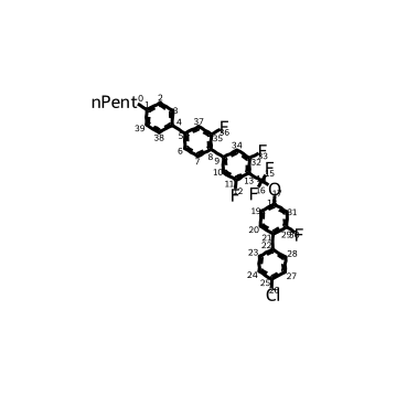 CCCCCc1ccc(-c2ccc(-c3cc(F)c(C(F)(F)Oc4ccc(-c5ccc(Cl)cc5)c(F)c4)c(F)c3)c(F)c2)cc1